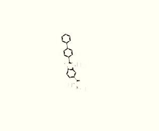 O=C(NO)c1ccc2nc(-c3ccc(-c4ccccc4)cc3)[nH]c2c1